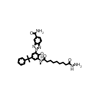 CN(C(=O)CCCCCCCC(=O)NN)c1cc(C(C)(C)c2ccccc2)cc(-n2nc3ccc(C(N)=O)cc3n2)c1O